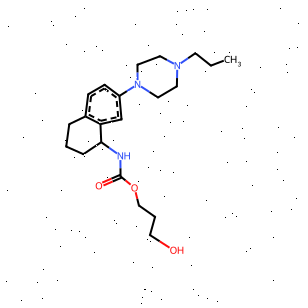 CCCN1CCN(c2ccc3c(c2)C(NC(=O)OCCCO)CCC3)CC1